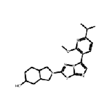 COc1nc(C(C)C)ccc1-c1cnc2sc(N3CC4CCC(O)CC4C3)nn12